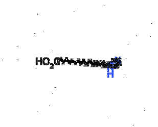 O=C(O)CCCCCCCCCCCCCCCCCNn1ccnc1